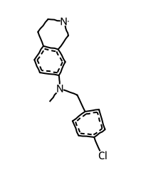 CN(Cc1ccc(Cl)cc1)c1ccc2c(c1)C[N]CC2